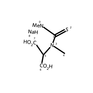 CNC(=S)N(C)C(C(=O)O)C(=O)O.[NaH]